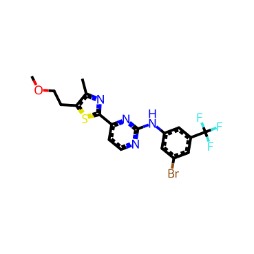 COCCc1sc(-c2ccnc(Nc3cc(Br)cc(C(F)(F)F)c3)n2)nc1C